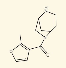 Cc1occc1C(=O)N1CC2CC1CCN2